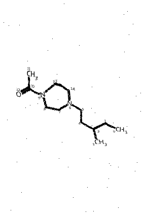 CCC(C)CCN1CCN(C(C)=O)CC1